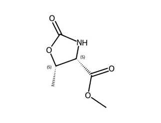 COC(=O)[C@H]1NC(=O)O[C@H]1C